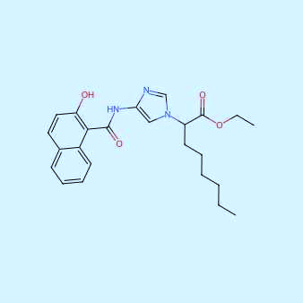 CCCCCCC(C(=O)OCC)n1cnc(NC(=O)c2c(O)ccc3ccccc23)c1